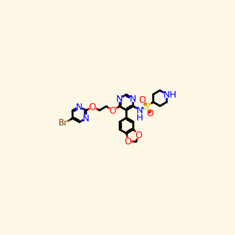 O=S(=O)(Nc1ncnc(OCCOc2ncc(Br)cn2)c1-c1ccc2c(c1)OCO2)C1CCNCC1